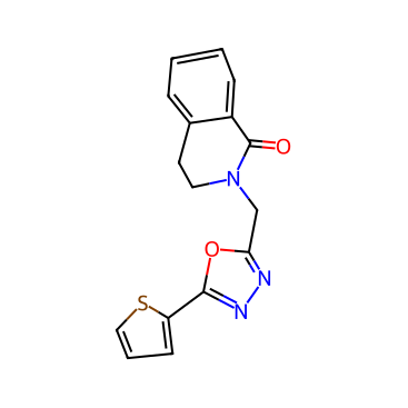 O=C1c2ccccc2CCN1Cc1nnc(-c2cccs2)o1